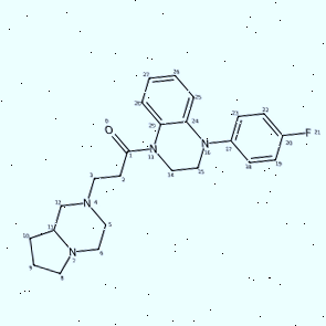 O=C(CCN1CCN2CCCC2C1)N1CCN(c2ccc(F)cc2)c2ccccc21